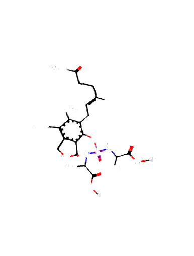 COC(=O)CC/C(C)=C/Cc1c(OC)c(C)c2c(c1OP(=O)(NC(C)C(=O)OC(C)C)NC(C)C(=O)OC(C)C)C(=O)OC2